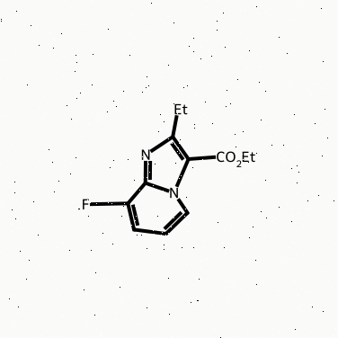 CCOC(=O)c1c(CC)nc2c(F)cccn12